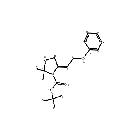 CC(C)(C)OC(=O)N1C(CCOc2ccccc2)COC1(C)C